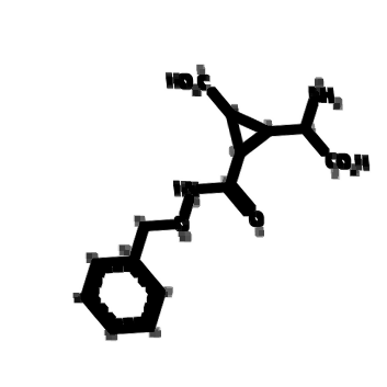 NC(C(=O)O)C1C(C(=O)O)C1C(=O)NOCc1ccccc1